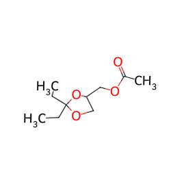 CCC1(CC)OCC(COC(C)=O)O1